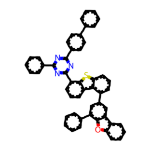 c1ccc(-c2ccc(-c3nc(-c4ccccc4)nc(-c4cccc5c4sc4cccc(-c6cc(-c7ccccc7)c7oc8ccccc8c7c6)c45)n3)cc2)cc1